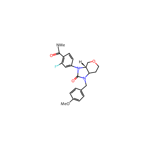 CNC(=O)c1ccc(N2C(=O)N(Cc3ccc(OC)cc3)C3CCOC[C@H]32)cc1F